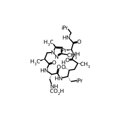 Cc1cc(C)n(C[C@H](C)C(=O)N[C@@H](CNC(=O)O)C(=O)N[C@@H](CC(C)C)[C@H](O)C[C@@H](C)C(=O)N[C@H](C(=O)NCC(C)C)C(C)C)n1